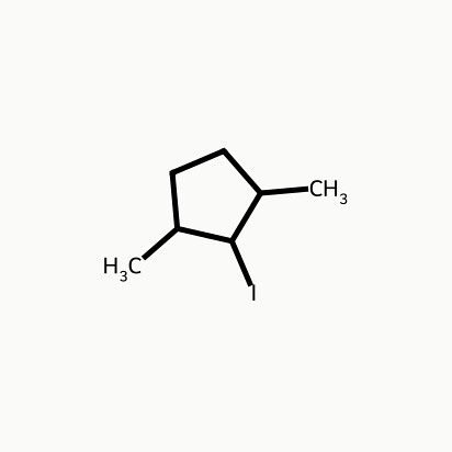 CC1CCC(C)C1I